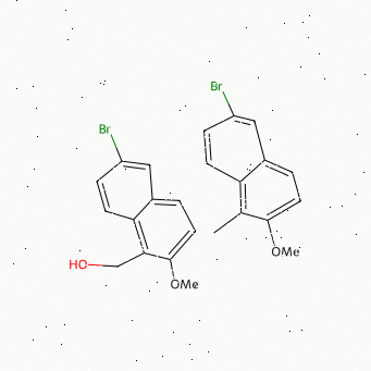 COc1ccc2cc(Br)ccc2c1C.COc1ccc2cc(Br)ccc2c1CO